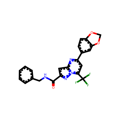 O=C(NCc1ccccc1)c1cc2nc(-c3ccc4c(c3)OCO4)cc(C(F)(F)F)n2n1